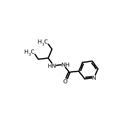 CCC(CC)NNC(=O)c1cccnc1